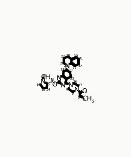 C=CC(=O)N1CCN(c2nc(OC[C@@H]3CCCN3C)nc3c2CCC(N2CCCc4ccccc42)C3)CC1